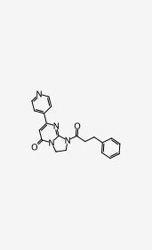 O=C(CCc1ccccc1)N1CCn2c1nc(-c1ccncc1)cc2=O